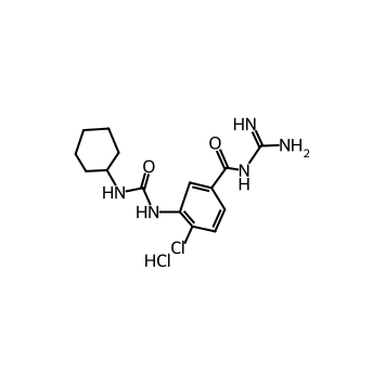 Cl.N=C(N)NC(=O)c1ccc(Cl)c(NC(=O)NC2CCCCC2)c1